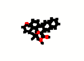 COC(=O)C(OC(C)(C)C)c1cc2ccccc2cc1-c1ccc2c(c1)CCCO2